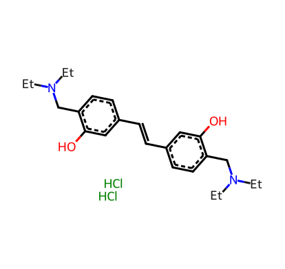 CCN(CC)Cc1ccc(C=Cc2ccc(CN(CC)CC)c(O)c2)cc1O.Cl.Cl